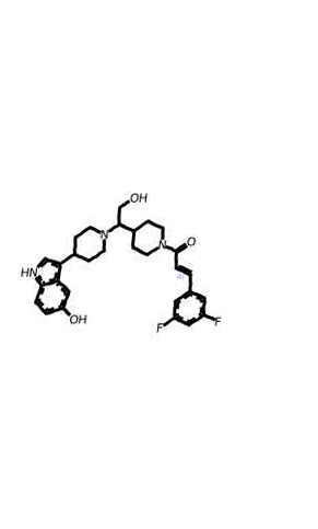 O=C(/C=C/c1cc(F)cc(F)c1)N1CCC(C(CO)N2CCC(c3c[nH]c4ccc(O)cc34)CC2)CC1